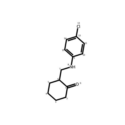 O=C1CCCCC1CNc1ccc(Cl)cc1